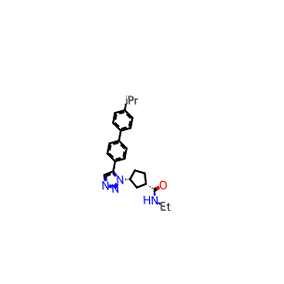 CCNC(=O)[C@H]1CC[C@@H](n2nncc2-c2ccc(-c3ccc(C(C)C)cc3)cc2)C1